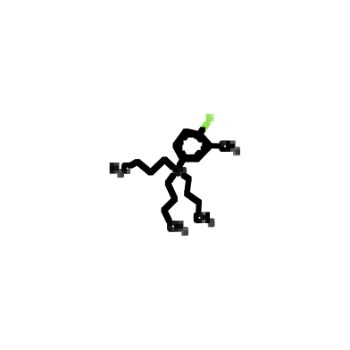 CCC[CH2][Sn]([CH2]CCC)([CH2]CCC)[c]1ccc(F)c(C)c1